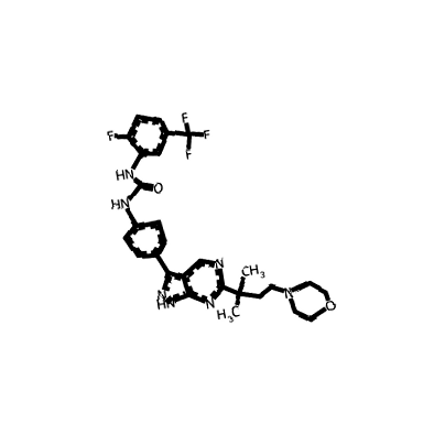 CC(C)(CCN1CCOCC1)c1ncc2c(-c3ccc(NC(=O)Nc4cc(C(F)(F)F)ccc4F)cc3)n[nH]c2n1